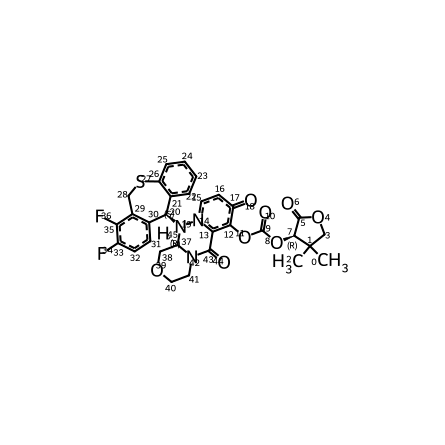 CC1(C)COC(=O)[C@@H]1OC(=O)Oc1c2n(ccc1=O)N([C@@H]1c3ccccc3SCc3c1ccc(F)c3F)[C@@H]1COCCN1C2=O